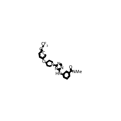 CNC(=O)c1cccc(Nc2ncnc(N3CCC(Oc4ccc(OCC(F)(F)F)cc4)CC3)n2)c1